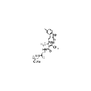 COC(=O)CNC(=O)CCNC(=O)c1c(C)[nH]c(/C=C2\C(=O)Nc3ccc(F)cc32)c1C